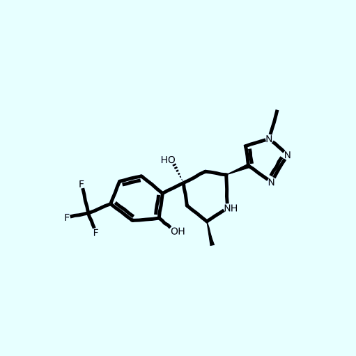 C[C@H]1C[C@@](O)(c2ccc(C(F)(F)F)cc2O)C[C@@H](c2cn(C)nn2)N1